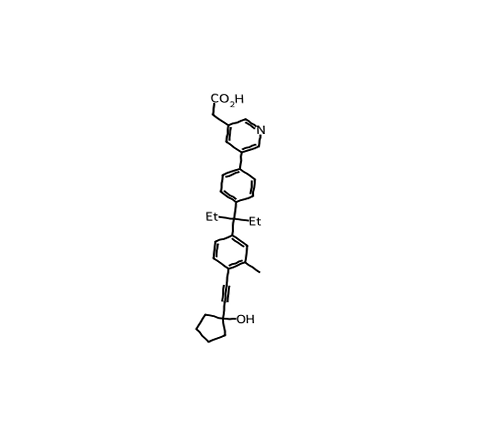 CCC(CC)(c1ccc(-c2cncc(CC(=O)O)c2)cc1)c1ccc(C#CC2(O)CCCC2)c(C)c1